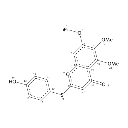 COc1c(OC(C)C)cc2oc(Sc3ccc(O)cc3)cc(=O)c2c1OC